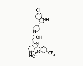 CS(=O)(=O)C1NCCc2c1c(-c1ccc(C(F)(F)F)cc1)nn2CC(O)CN1CCC(c2c[nH]c3nc(Cl)ccc23)CC1